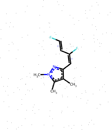 Cc1c(/C=C(F)\C=C\F)nn(C)c1C